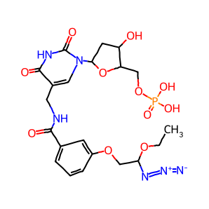 CCOC(COc1cccc(C(=O)NCc2cn(C3CC(O)C(COP(=O)(O)O)O3)c(=O)[nH]c2=O)c1)N=[N+]=[N-]